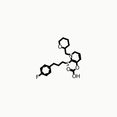 O=C(O)OC1=C(SCCCc2ccc(F)cc2)N(CC2CCCCO2)CC=C1